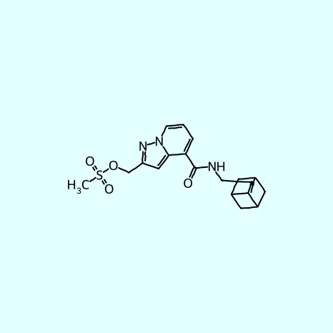 CS(=O)(=O)OCc1cc2c(C(=O)NCC3=C4C5CC(C3)CC4C5)cccn2n1